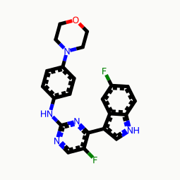 Fc1ccc2[nH]cc(-c3nc(Nc4ccc(N5CCOCC5)cc4)ncc3F)c2c1